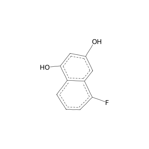 Oc1cc(O)c2cccc(F)c2c1